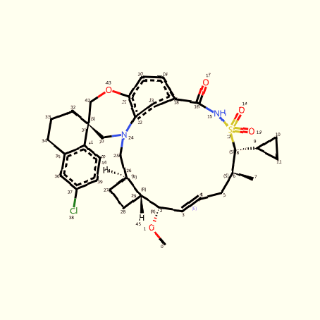 CO[C@H]1/C=C/C[C@H](C)[C@@H](C2CC2)S(=O)(=O)NC(=O)c2ccc3c(c2)N(C[C@@H]2CC[C@H]21)C[C@@]1(CCCc2cc(Cl)ccc21)CO3